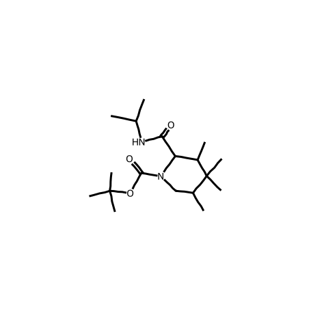 CC(C)NC(=O)C1C(C)C(C)(C)C(C)CN1C(=O)OC(C)(C)C